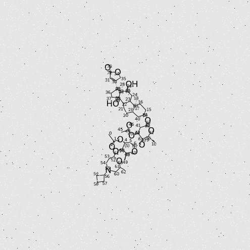 CC(=O)O[C@H]1C[C@H](O[C@@H]2[C@H](C)O[C@@H](O[C@H]3CC[C@@]4(C)C(CCC5C4C[C@H](O)[C@]4(C)[C@@H](C6=CC(=O)OC6)CC[C@]54O)C3)C[C@@H]2OC(C)=O)O[C@@H](C)[C@H]1OC1CCN(C2CCC2)CC(C)O1